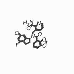 NC(=O)c1ncccc1CN(C(=O)c1cccc2c1OCO2)[C@@H]1CCc2c(F)cc(Cl)cc21